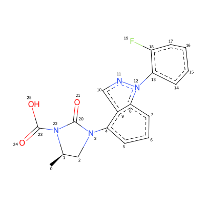 C[C@@H]1CN(c2cccc3c2cnn3-c2ccccc2F)C(=O)N1C(=O)O